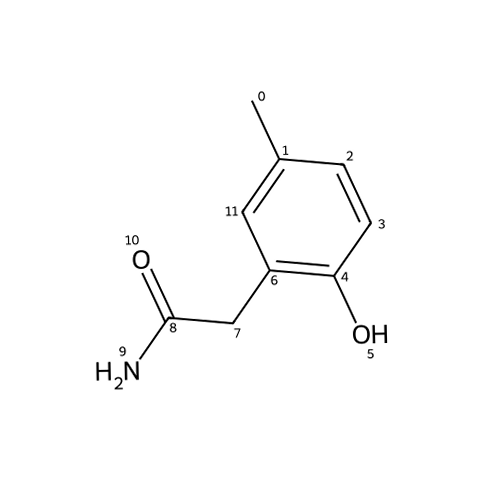 Cc1ccc(O)c(CC(N)=O)c1